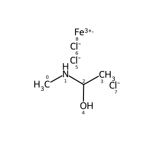 CNC(C)O.[Cl-].[Cl-].[Cl-].[Fe+3]